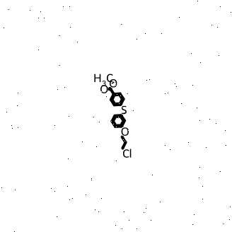 COC(=O)c1ccc(Sc2cccc(OCCCCl)c2)cc1